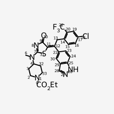 CCOC(=O)N1CCC(N(C)C2=NC(=O)C(=C(Cc3ccc(Cl)cc3C(F)(F)F)c3ccc4[nH]ncc4c3)S2)CC1